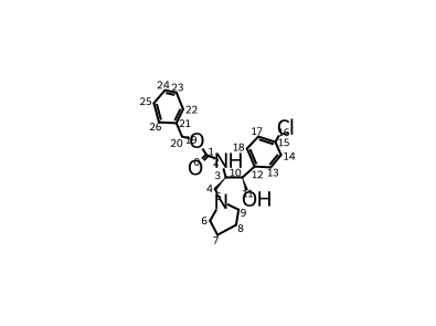 O=C(N[C@H](CN1CCCC1)[C@H](O)c1ccc(Cl)cc1)OCc1ccccc1